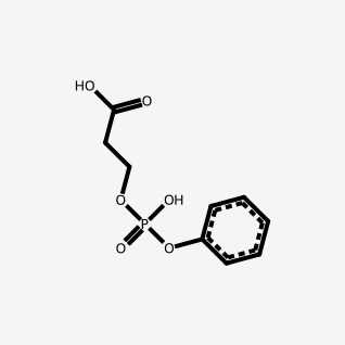 O=C(O)CCOP(=O)(O)Oc1ccccc1